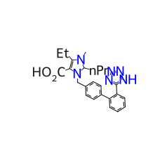 CCCC1N(C)C(CC)=C(C(=O)O)N1Cc1ccc(-c2ccccc2-c2nnn[nH]2)cc1